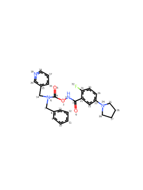 O=C(NOC(=O)N(Cc1ccccc1)Cc1cccnc1)c1cc(N2CCCC2)ccc1F